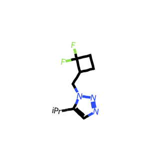 CC(C)c1cnnn1CC1CCC1(F)F